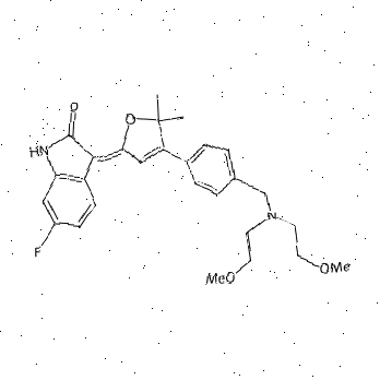 COCCN(CCOC)Cc1ccc(C2=CC(=C3C(=O)Nc4cc(F)ccc43)OC2(C)C)cc1